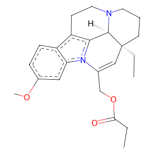 CCC(=O)OCC1=C[C@]2(CC)CCCN3CCc4c(n1c1cc(OC)ccc41)[C@@H]32